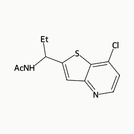 CCC(NC(C)=O)c1cc2nccc(Cl)c2s1